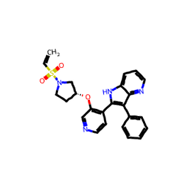 C=CS(=O)(=O)N1CC[C@@H](Oc2cnccc2-c2[nH]c3cccnc3c2-c2ccccc2)C1